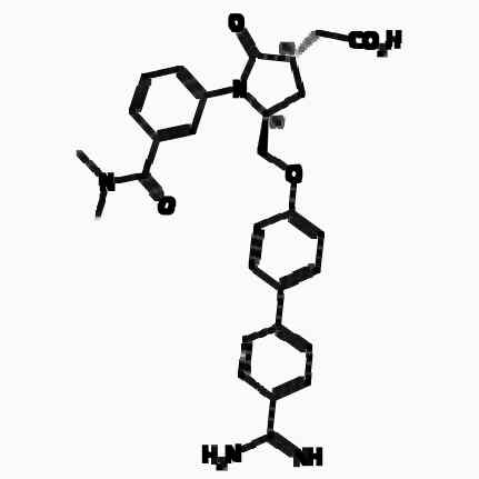 CN(C)C(=O)c1cccc(N2C(=O)[C@H](CC(=O)O)C[C@H]2COc2ccc(-c3ccc(C(=N)N)cc3)cc2)c1